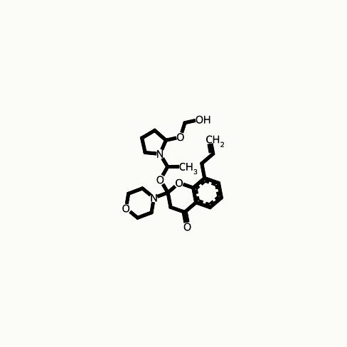 C=CCc1cccc2c1OC(OC(C)N1CCCC1OCO)(N1CCOCC1)CC2=O